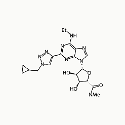 CCNc1nc(-c2cn(CC3CC3)nn2)nc2c1ncn2[C@@H]1O[C@H](C(=O)NC)[C@@H](O)[C@H]1O